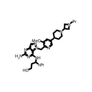 CCCC(CCO)Nc1nc(N)nc2cnn(Cc3ncc(C4CCN(C5CN(C(C)C)C5)CC4)cc3OC)c12